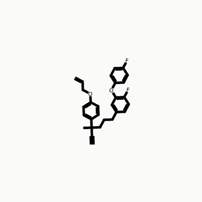 C#CC(C)(CCCc1ccc(F)c(Oc2ccc(F)cc2)c1)c1ccc(OCC=C)cc1